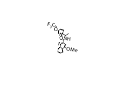 COc1cc(C(=O)NC(C)c2ccc(OCC(F)(F)F)cn2)nc2ccccc12